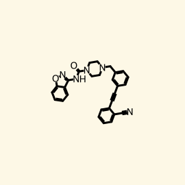 N#Cc1ccccc1C#Cc1cccc(CN2CCN(C(=O)Nc3noc4ccccc34)CC2)c1